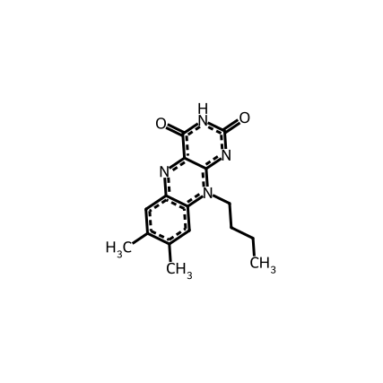 CCCCn1c2nc(=O)[nH]c(=O)c-2nc2cc(C)c(C)cc21